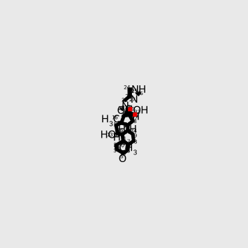 C[C@]12C=CC(=O)C=C1CC[C@@H]1[C@@H]2[C@@H](O)C[C@@]2(C)[C@H]1C[C@H]1CN(Cc3c[nH]cn3)O[C@]12C(=O)CO